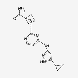 NC(=O)C12CC(C1)N(c1nccc(Nc3cc(C4CC4)[nH]n3)n1)C2